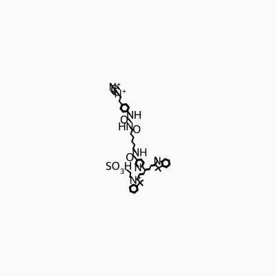 CN1/C(=C/C=C(/C=C/C2=[N+](CCCS(=O)(=O)O)c3ccccc3C2(C)C)c2ccc(C(=O)NCCCCCC(=O)NCC(=O)Nc3ccc(CC[N+]45CC[N+](C)(CC4)CC5)cc3)cn2)C(C)(C)c2ccccc21